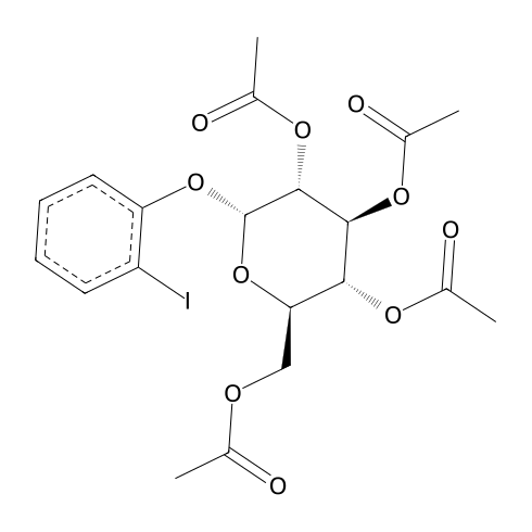 CC(=O)OC[C@H]1O[C@H](Oc2ccccc2I)[C@H](OC(C)=O)[C@@H](OC(C)=O)[C@@H]1OC(C)=O